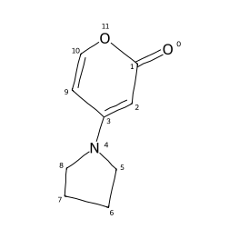 O=c1cc(N2CCCC2)cco1